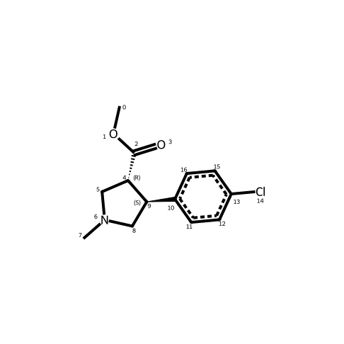 COC(=O)[C@H]1CN(C)C[C@@H]1c1ccc(Cl)cc1